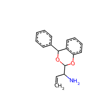 C=CC(N)C1Oc2ccccc2C(c2ccccc2)O1